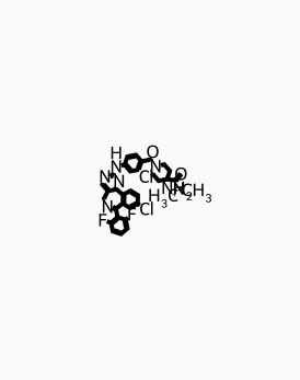 CN(C)C(=O)C1(N)CCN(C(=O)c2ccc(Nc3ncc4c(n3)-c3ccc(Cl)cc3C(c3c(F)cccc3F)=NC4)cc2Cl)CC1